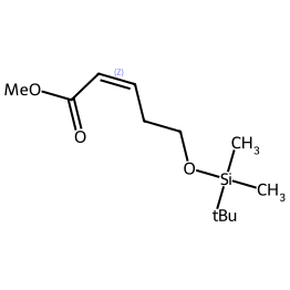 COC(=O)/C=C\CCO[Si](C)(C)C(C)(C)C